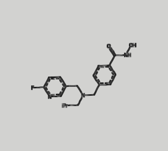 CC(C)CN(Cc1ccc(C(=O)NO)cc1)Cc1ccc(F)nc1